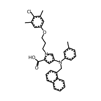 Cc1cccc(N(Cc2cccc3ccccc23)c2cc(C(=O)O)n(CCCOc3cc(C)c(Cl)c(C)c3)c2)c1